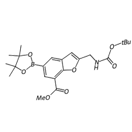 COC(=O)c1cc(B2OC(C)(C)C(C)(C)O2)cc2cc(CNC(=O)OC(C)(C)C)oc12